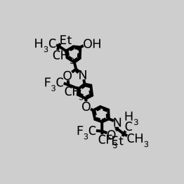 CCC(C)(C)C1=Nc2ccc(Oc3ccc4c(c3)C(C(F)(F)F)(C(F)(F)F)OC(c3cc(O)cc(C(C)(C)CC)c3)=N4)cc2C(C(F)(F)F)(C(F)(F)F)O1